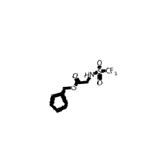 O=C(CNS(=O)(=O)C(F)(F)F)OCc1ccccc1